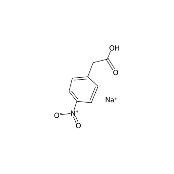 O=C(O)Cc1ccc([N+](=O)[O-])cc1.[Na+]